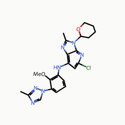 COc1c(Nc2cc(Cl)nc3c2nc(C)n3C2CCCCO2)cccc1-n1cnc(C)n1